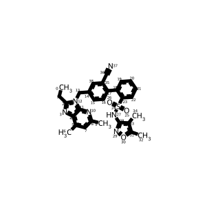 CCc1nc2c(C)cc(C)nc2n1Cc1ccc(-c2ccccc2S(=O)(=O)Nc2noc(C)c2C)c(C#N)c1